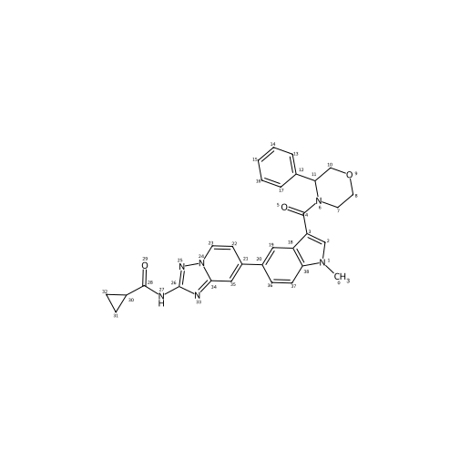 Cn1cc(C(=O)N2CCOCC2c2ccccc2)c2cc(-c3ccn4nc(NC(=O)C5CC5)nc4c3)ccc21